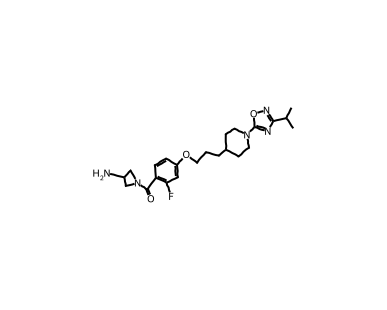 CC(C)c1noc(N2CCC(CCCOc3ccc(C(=O)N4CC(N)C4)c(F)c3)CC2)n1